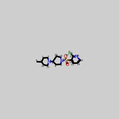 CC1CCN(C2CCN(S(=O)(=O)c3cccnc3F)CC2)CC1